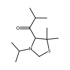 CC(C)C(=O)C1N(C(C)C)CSC1(C)C